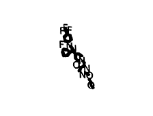 COCCOc1nccc(Cn2ccc(-c3nn(-c4ccc(C(F)(F)F)cc4)c4c(F)cccc34)cc2=O)n1